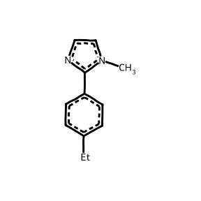 CCc1ccc(-c2nccn2C)cc1